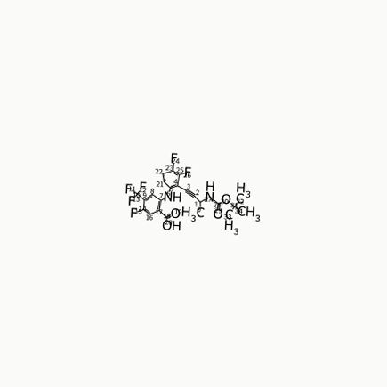 CC(C#Cc1c(Nc2cc(C(F)(F)F)c(F)cc2C(=O)O)ccc(F)c1F)NC(=O)OC(C)(C)C